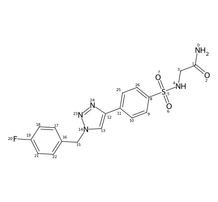 NC(=O)CNS(=O)(=O)c1ccc(-c2cn(Cc3ccc(F)cc3)nn2)cc1